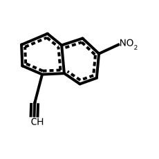 C#Cc1cccc2cc([N+](=O)[O-])ccc12